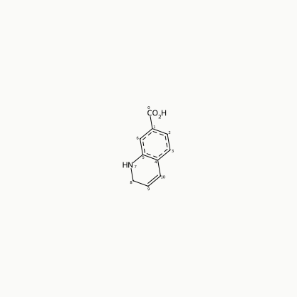 O=C(O)c1ccc2c(c1)NCC=C2